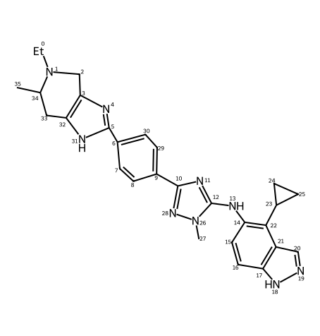 CCN1Cc2nc(-c3ccc(-c4nc(Nc5ccc6[nH]ncc6c5C5CC5)n(C)n4)cc3)[nH]c2CC1C